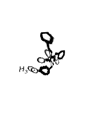 COc1ccc(CN2C(=O)[C@H](CC3CCCCC3)[C@@]3(CCC4CCCCC4)OC(=O)C23)cc1